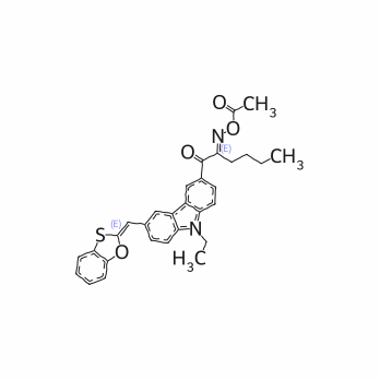 CCCC/C(=N\OC(C)=O)C(=O)c1ccc2c(c1)c1cc(/C=C3\Oc4ccccc4S3)ccc1n2CC